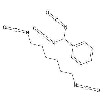 O=C=NC(N=C=O)c1ccccc1.O=C=NCCCCCCN=C=O